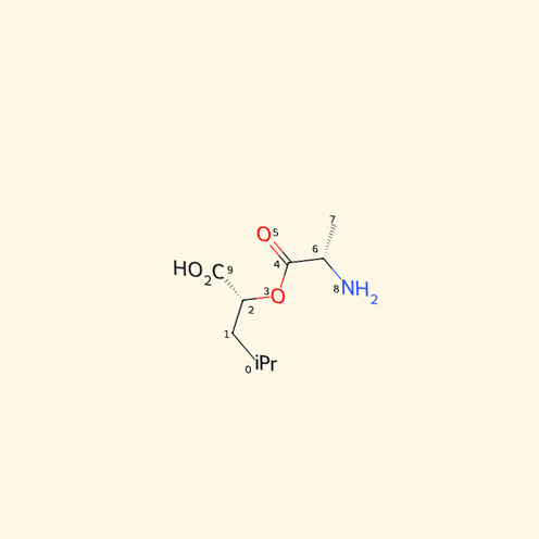 CC(C)C[C@@H](OC(=O)[C@H](C)N)C(=O)O